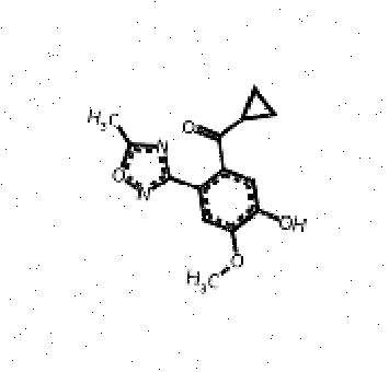 COc1cc(-c2noc(C)n2)c(C(=O)C2CC2)cc1O